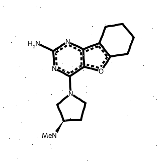 CN[C@@H]1CCN(c2nc(N)nc3c4c(oc23)CCCC4)C1